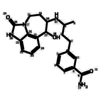 CC(CCc1cccc(C(N)=O)c1)NC1CCn2c(=O)[nH]c3cccc(c32)C1O